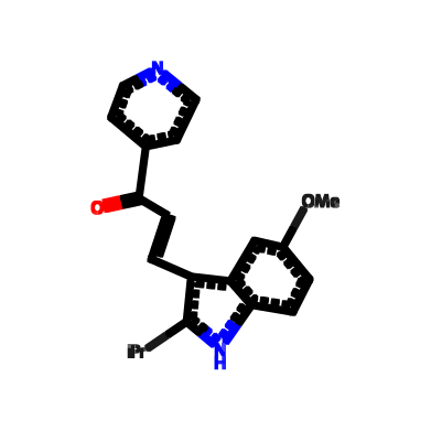 COc1ccc2[nH]c(C(C)C)c(C=CC(=O)c3ccncc3)c2c1